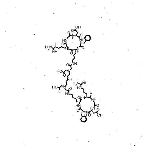 N=C(N)NCCC[C@@H]1NC(=O)[C@H](CCCCNC(=O)CN(CCNCCN(CC(=O)O)CC(=O)NCCCC[C@@H]2NC(=O)[C@@H](Cc3ccccc3)NC(=O)[C@H](CC(=O)O)NC(=O)CNC(=O)[C@H](CCCNC(=N)N)NC2=O)CC(=O)O)NC(=O)[C@@H](Cc2ccccc2)NC(=O)C(CC(=O)O)NC(=O)CNC1=O